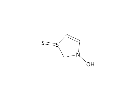 ON1C=CS(=S)C1